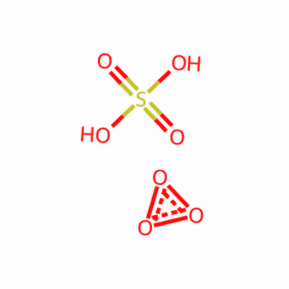 O=S(=O)(O)O.o1oo1